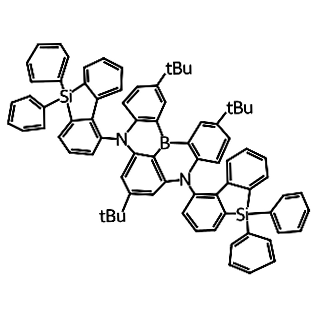 CC(C)(C)c1ccc2c(c1)B1c3cc(C(C)(C)C)ccc3N(c3cccc4c3-c3ccccc3[Si]4(c3ccccc3)c3ccccc3)c3cc(C(C)(C)C)cc(c31)N2c1cccc2c1-c1ccccc1[Si]2(c1ccccc1)c1ccccc1